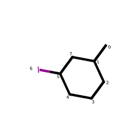 CC1CCCC(I)C1